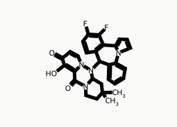 CC1(C)CCN2C(=O)c3c(O)c(=O)ccn3N(C3c4ccccc4-n4cccc4-c4c3ccc(F)c4F)C2C1